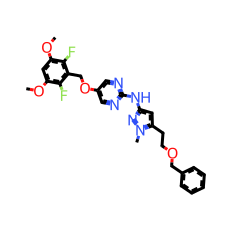 COc1cc(OC)c(F)c(COc2cnc(Nc3cc(CCOCc4ccccc4)n(C)n3)nc2)c1F